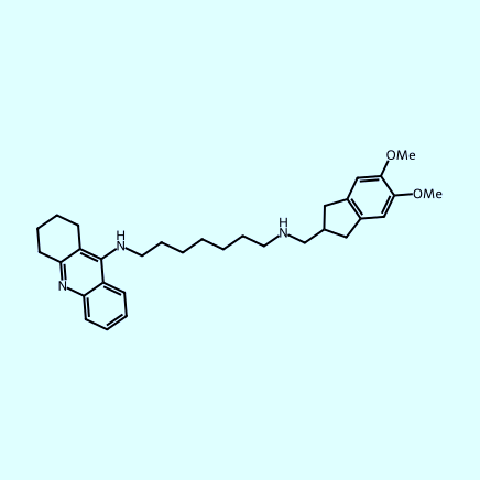 COc1cc2c(cc1OC)CC(CNCCCCCCCNc1c3c(nc4ccccc14)CCCC3)C2